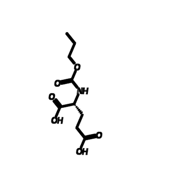 CCCOC(=O)N[C@H](CCC(=O)O)C(=O)O